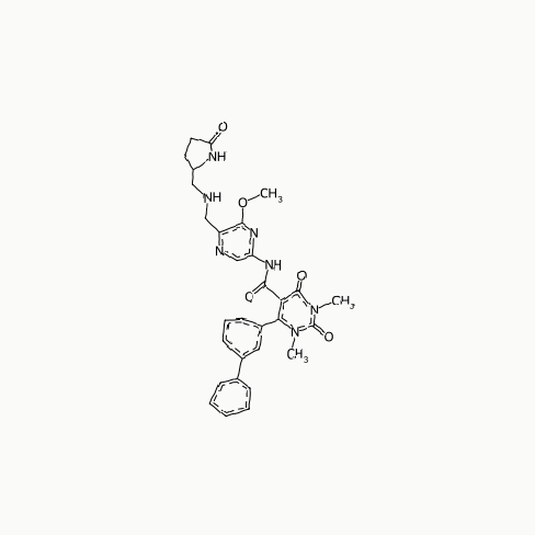 COc1nc(NC(=O)c2c(-c3cccc(-c4ccccc4)c3)n(C)c(=O)n(C)c2=O)cnc1CNCC1CCC(=O)N1